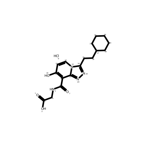 Cl.O=C(O)CNC(=O)c1c(O)ccn2c(CCC3CCCCC3)nnc12